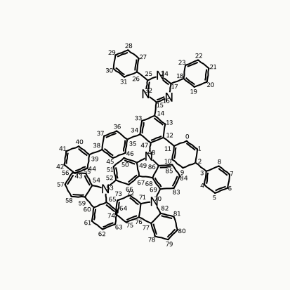 C1=CC(c2ccccc2)CC=C1c1cc(-c2nc(-c3ccccc3)nc(-c3ccccc3)n2)cc(-c2ccc(-c3ccccc3)cc2)c1-n1c2ccc(-n3c4ccccc4c4ccccc43)cc2c2c(-n3c4ccccc4c4ccccc43)cccc21